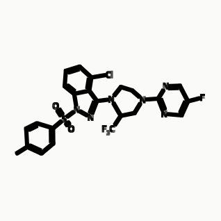 Cc1ccc(S(=O)(=O)n2nc(N3CCN(c4ncc(F)cn4)CC3C(F)(F)F)c3c(Cl)cccc32)cc1